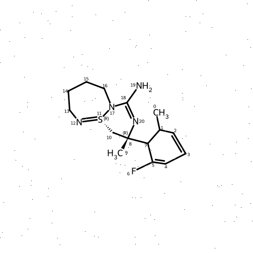 CC1C=CC=C(F)C1[C@]1(C)C[S@@]2=NCCCCN2C(N)=N1